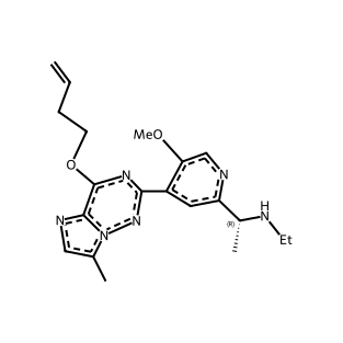 C=CCCOc1nc(-c2cc([C@@H](C)NCC)ncc2OC)nn2c(C)cnc12